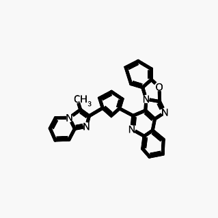 Cc1c(-c2cccc(-c3nc4ccccc4c4nc5oc6ccccc6n5c34)c2)nc2ccccn12